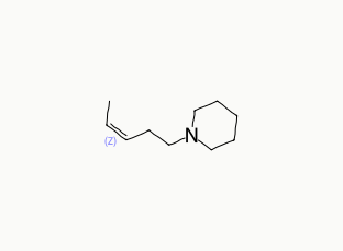 C/C=C\CCN1CCCCC1